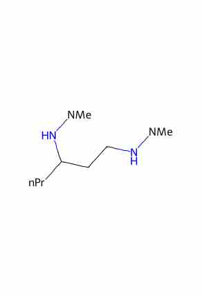 CCCC(CCNNC)NNC